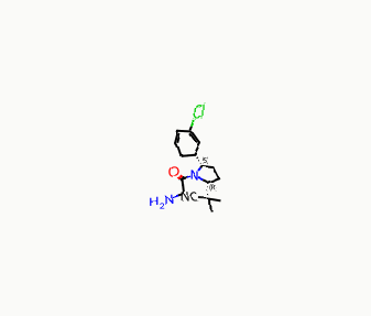 CC(C)(C#N)[C@H]1CC[C@@H](C2C=C(Cl)C=CC2)N1C(=O)CN